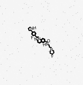 O=C(NCCCN1CCC(F)CC1)c1ccc2c(ccc3nc(-c4ccc(C5CCCN5)cc4F)cn32)c1